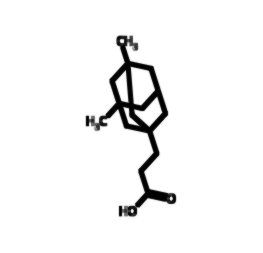 CC12CC3CC(C)(C1)CC(CCC(=O)O)(C3)C2